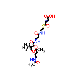 CC(=O)NCCCC1(C)OCC(C)(C)[C@H](C(=O)NCCC(=O)NCCSC(=O)/C=C/C(=O)O)O1